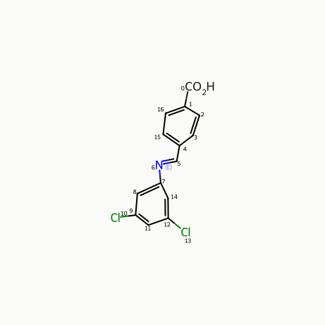 O=C(O)c1ccc(/C=N/c2cc(Cl)cc(Cl)c2)cc1